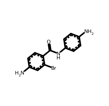 Nc1ccc(NC(=O)c2ccc(N)cc2Br)cc1